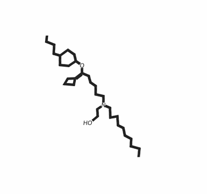 CCCCCCCCCCN(CCO)CCCCCC(OC1CCC(CCCC)CC1)=C1CCC1